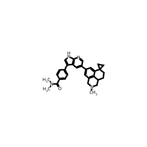 CN1Cc2cc(-c3cnc4[nH]cc(-c5ccc(C(=O)N(C)C)cc5)c4c3)cc3c2C(CCC32CC2)C1